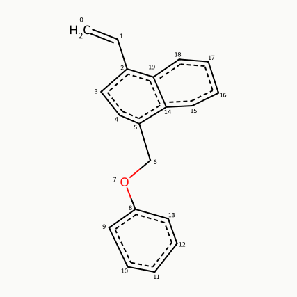 C=Cc1ccc(COc2ccccc2)c2ccccc12